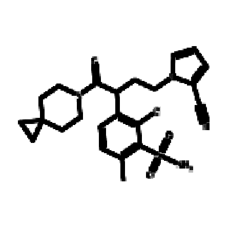 Cc1ccc(C(CCn2cccc2C#N)C(=O)N2CCC3(CC2)CC3)c(Cl)c1S(N)(=O)=O